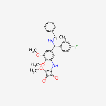 COc1cc(C(N[C@@H](C)c2ccccc2)c2ccc(F)cc2)cc(Nc2c(OC)c(=O)c2=O)c1OC